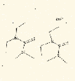 CCN(CC)C(=S)[S-](C)C.CCN(CC)C(=S)[S-](C)C.[Zn+2]